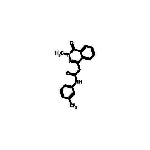 Cn1nc(CC(=O)Nc2cccc(C(F)(F)F)c2)c2ccccc2c1=O